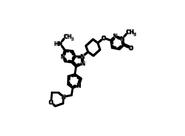 CNc1cc2c(cn1)c(-c1ccc(CN3CCOCC3)nc1)nn2C1CCC(Oc2ccc(=O)n(C)n2)CC1